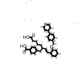 O=C(O)CCCCC(/C=C/c1ccccc1OCc1ccc(-c2ccncc2)cc1)Cc1ccc(C(=O)O)cc1